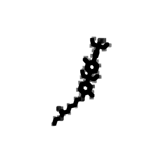 CCOC(=O)CCCCOc1ccc(C(CC)(CC)c2ccc(C#CC(O)(CC)CC)c(C)c2)cc1C